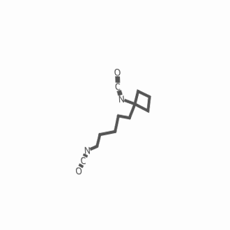 O=C=NCCCCCC1(N=C=O)CCC1